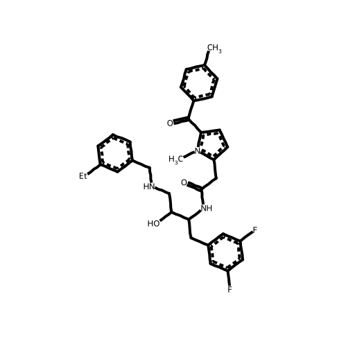 CCc1cccc(CNCC(O)C(Cc2cc(F)cc(F)c2)NC(=O)Cc2ccc(C(=O)c3ccc(C)cc3)n2C)c1